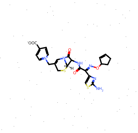 Nc1nc(C(=NOC2C=CCC2)C(=O)NC2C(=O)N3C=C(C[n+]4ccc(C(=O)[O-])cc4)CS[C@H]23)cs1